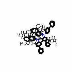 Cc1cc(-c2ccccc2)ccc1N1c2cc3c(cc2B2c4c1cc1c(c4-c4cc(-c5ccccc5)ccc4N2c2ccc4c(c2)C(C)(C)CCC4(C)C)-c2ccccc2C1(C)C)C(C)(C)CCC3(C)C